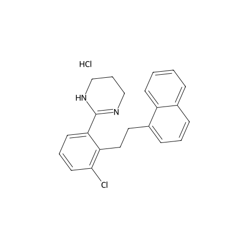 Cl.Clc1cccc(C2=NCCCN2)c1CCc1cccc2ccccc12